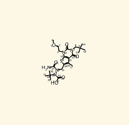 COCCn1c(=O)n(CC(C)(C)C)c(=O)c2c(C)c(CN(C(N)=O)N(C(=O)O)C(C)(C)C)sc21